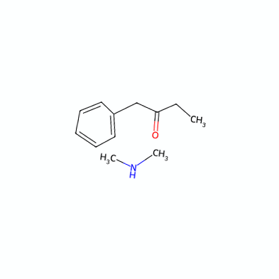 CCC(=O)Cc1ccccc1.CNC